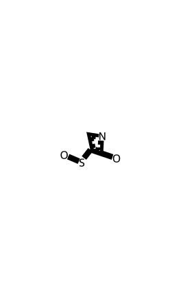 O=S=c1cnc1=O